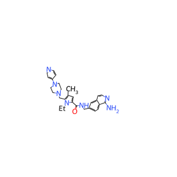 CCn1c(C(=O)NCc2ccc3c(N)nccc3c2)cc(C)c1CN1CCN(c2ccncc2)CC1